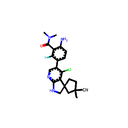 CN(C)C(=O)c1c(N)ccc(-c2cnc3c(c2Cl)C2(CCC(C)(C#N)C2)CN3)c1F